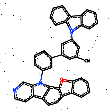 N#Cc1cc(-c2cccc(-n3c4cnccc4c4ccc5c6ccccc6oc5c43)c2)cc(-n2c3ccccc3c3ccccc32)c1